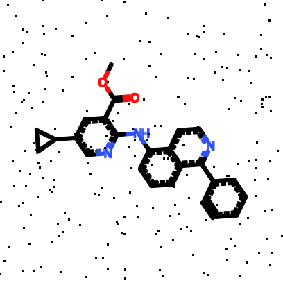 COC(=O)c1cc(C2CC2)cnc1Nc1cccc2c(-c3c#cccc3)nccc12